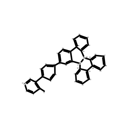 Cc1ccncc1-c1ccc(-c2ccc3c(c2)B2c4ccccc4-c4ccccc4N2c2ccccc2-3)cc1